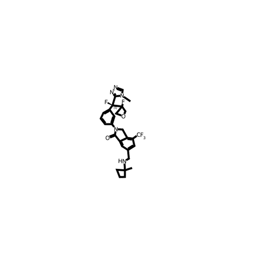 Cn1cnnc1[C@@](F)(c1cccc(N2Cc3c(cc(CNC4(C)CCC4)cc3C(F)(F)F)C2=O)c1)C1(F)COC1